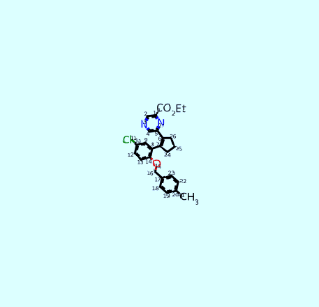 CCOC(=O)c1cncc(C2=C(c3cc(Cl)ccc3OCc3ccc(C)cc3)CCC2)n1